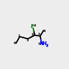 CCCC(F)C(C)N